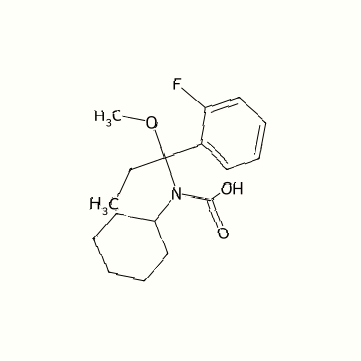 CCC(OC)(c1ccccc1F)N(C(=O)O)C1CCCCC1